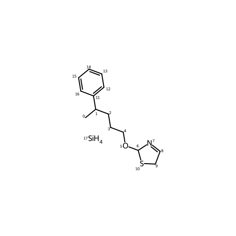 CC(CCCOC1N=CCS1)c1ccccc1.[SiH4]